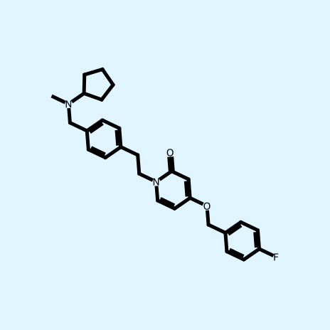 CN(Cc1ccc(CCn2ccc(OCc3ccc(F)cc3)cc2=O)cc1)C1CCCC1